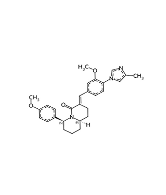 COc1ccc([C@@H]2CCC[C@@H]3CCC(=Cc4ccc(-n5cnc(C)c5)c(OC)c4)C(=O)N32)cc1